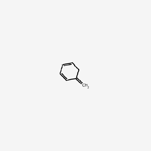 C=C1C=C[C]=CC1